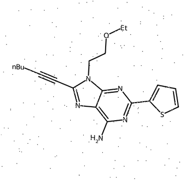 CCCCC#Cc1nc2c(N)nc(-c3cccs3)nc2n1CCOCC